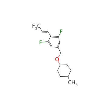 CC1CCC(OCc2cc(F)c(/C=C/C(F)(F)F)c(F)c2)CC1